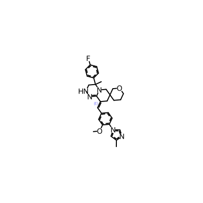 COc1cc(/C=C2\CC3(CCCOC3)CN3C2=NNCC3(C)c2ccc(F)cc2)ccc1-n1cnc(C)c1